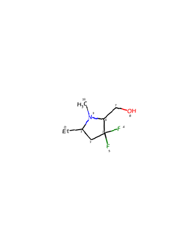 CCC1CC(F)(F)C(CO)N1C